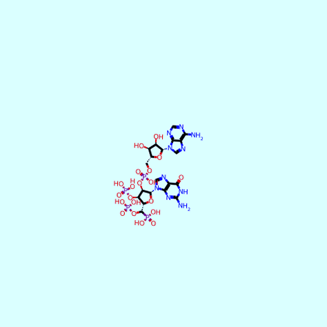 Nc1nc2c(ncn2[C@@H]2O[C@H](C(OP(=O)(O)O)P(=O)(O)O)[C@@H](OP(=O)(O)O)[C@H]2OP(=O)(O)OC[C@H]2O[C@@H](n3cnc4c(N)ncnc43)[C@H](O)[C@@H]2O)c(=O)[nH]1